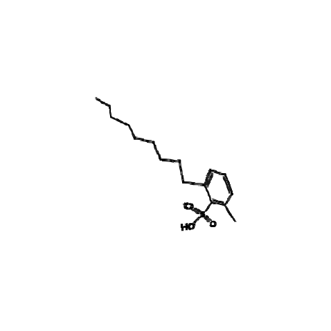 CCCCCCCCCc1cccc(C)c1S(=O)(=O)O